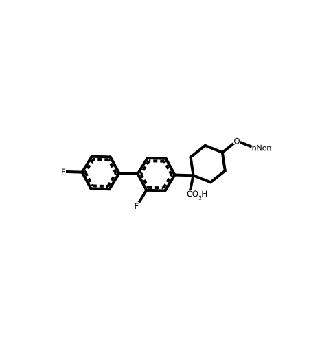 CCCCCCCCCOC1CCC(C(=O)O)(c2ccc(-c3ccc(F)cc3)c(F)c2)CC1